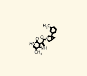 Cc1cccc(C23CC2CN(C(=O)c2c[nH]c4c(C)c[nH]c(=O)c24)C3)c1